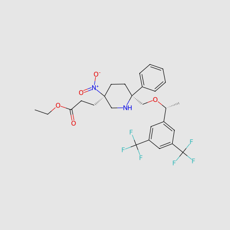 CCOC(=O)CC[C@]1([N+](=O)[O-])CC[C@@](CO[C@H](C)c2cc(C(F)(F)F)cc(C(F)(F)F)c2)(c2ccccc2)NC1